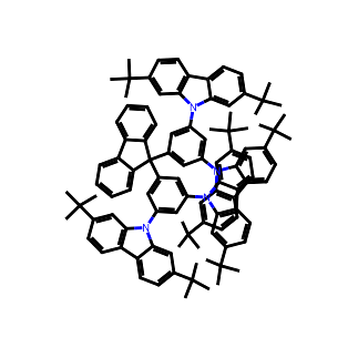 CC(C)(C)c1ccc2c3ccc(C(C)(C)C)cc3n(-c3cc(-n4c5cc(C(C)(C)C)ccc5c5ccc(C(C)(C)C)cc54)cc(C4(c5cc(-n6c7cc(C(C)(C)C)ccc7c7ccc(C(C)(C)C)cc76)cc(-n6c7cc(C(C)(C)C)ccc7c7ccc(C(C)(C)C)cc76)c5)c5ccccc5-c5ccccc54)c3)c2c1